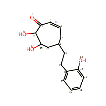 O=C1/C=C\CC(CCc2ccccc2O)CC(O)C1O